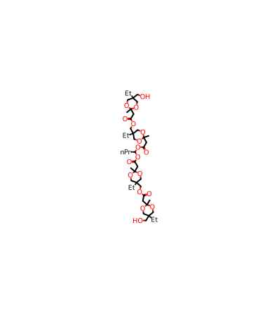 CCCC(OC(=O)CC1(C)OCC(CC)(COC(=O)CC2(C)OCC(CC)(CO)CO2)CO1)OC(=O)CC1(C)OCC(CC)(COC(=O)CC2(C)OCC(CC)(CO)CO2)CO1